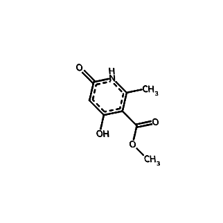 COC(=O)c1c(O)cc(=O)[nH]c1C